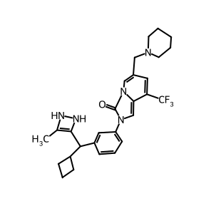 Cc1[nH][nH]c1C(c1cccc(-n2cc3c(C(F)(F)F)cc(CN4CCCCC4)cn3c2=O)c1)C1CCC1